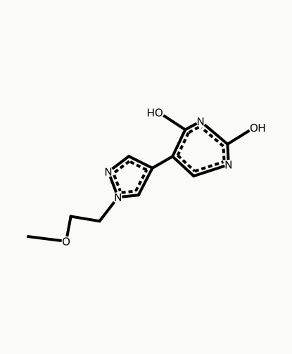 COCCn1cc(-c2cnc(O)nc2O)cn1